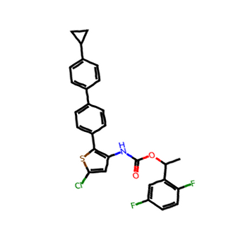 CC(OC(=O)Nc1cc(Cl)sc1-c1ccc(-c2ccc(C3CC3)cc2)cc1)c1cc(F)ccc1F